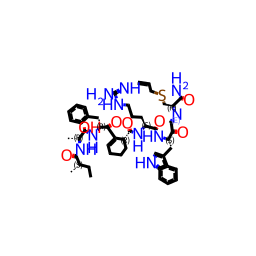 C=CCSC[C@H](/N=C/C(=O)[C@H](Cc1c[nH]c2ccccc12)NC(=O)[C@H](CCCNC(=N)N)NC(=O)[C@@H]1CCCC=C1C(=O)[C@@H](Cc1ccccc1)NC(O)[C@@H](C)NC(=O)[C@@H](C)CC)C(N)=O